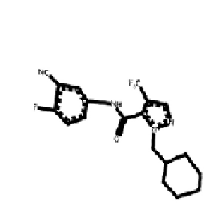 N#Cc1cc(NC(=O)c2c(C(F)(F)F)cnn2CC2CCCCC2)ccc1F